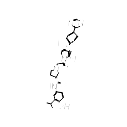 CC(C)c1cc(NC(=O)[C@@H]2CCN(CC(=O)N3C[C@@H]4C[C@H]3CN4c3ccc(-c4cnccn4)cc3)C2)ccc1O